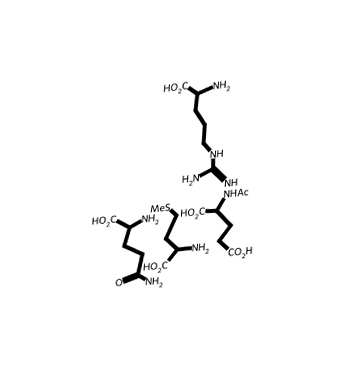 CC(=O)NC(CCC(=O)O)C(=O)O.CSCCC(N)C(=O)O.N=C(N)NCCCC(N)C(=O)O.NC(=O)CCC(N)C(=O)O